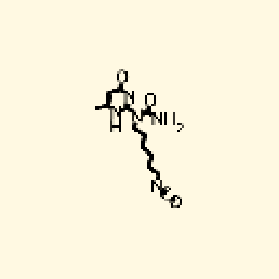 Cc1cc(=O)nc(N(CCCCCCN=C=O)C(N)=O)[nH]1